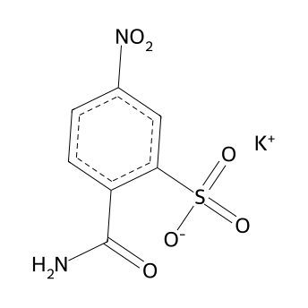 NC(=O)c1ccc([N+](=O)[O-])cc1S(=O)(=O)[O-].[K+]